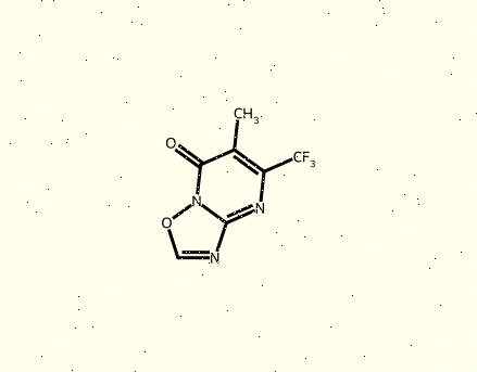 Cc1c(C(F)(F)F)nc2ncon2c1=O